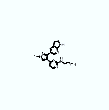 CC(C)n1cc(-c2ccnc(NCCO)n2)c(-c2cnc3c(c2)CCN3)n1